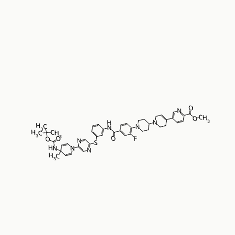 COC(=O)c1ccc(C2=CCN(C3CCN(c4ccc(C(=O)Nc5cccc(Sc6cnc(N7C=CC(C)(NC(=O)OC(C)(C)C)C=C7)cn6)c5)cc4F)CC3)CC2)cn1